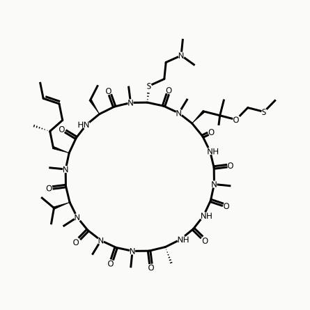 C/C=C/C[C@@H](C)C[C@H]1C(=O)N[C@@H](CC)C(=O)N(C)[C@H](SCCN(C)C)C(=O)N(C)[C@@H](CC(C)(C)OCSC)C(=O)NC(=O)N(C)C(=O)NC(=O)N[C@H](C)C(=O)N(C)C(=O)N(C)C(=O)N(C)[C@@H](C(C)C)C(=O)N1C